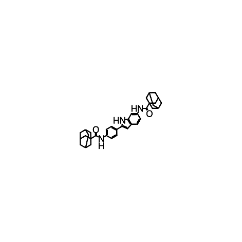 O=C(Nc1ccc(-c2cc3ccc(NC(=O)C45CC6CC(CC(C6)C4)C5)cc3[nH]2)cc1)C12CC3CC(CC(C3)C1)C2